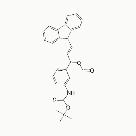 CC(C)(C)OC(=O)Nc1cccc(C(C=CC2c3ccccc3-c3ccccc32)O[C]=O)c1